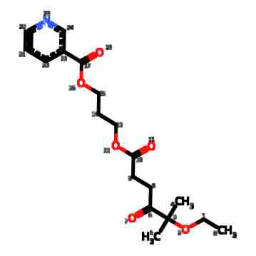 CCOC(C)(C)C(=O)CCC(=O)OCCCOC(=O)c1cc#cnc1